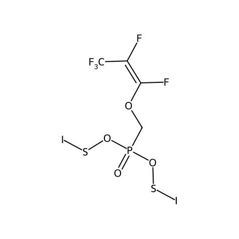 O=P(CO/C(F)=C(/F)C(F)(F)F)(OSI)OSI